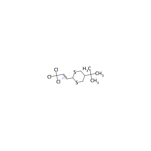 CC(C)(C)C1CSC(/C=C/C(Cl)(Cl)Cl)SC1